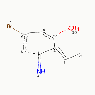 C/C=C1/C(=N)C=C(Br)C=C1O